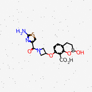 Nc1nc(C(=O)N2CC(Oc3ccc4c(c3C(=O)O)OB(O)CC4)C2)cs1